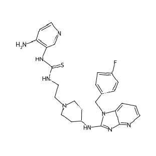 Nc1ccncc1NC(=S)NCCN1CCC(Nc2nc3ncccc3n2Cc2ccc(F)cc2)CC1